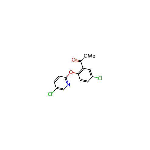 COC(=O)c1cc(Cl)ccc1Oc1ccc(Cl)cn1